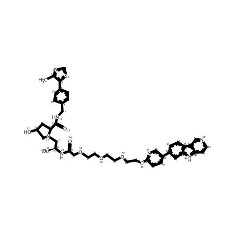 Cc1ncsc1-c1ccc(CNC(=O)C2CC(O)CN2C[C@@H](NC(=O)COCCOCCOCCOc2ccc(-c3ccc4c(c3)[nH]c3ccncc34)cn2)C(C)(C)C)cc1